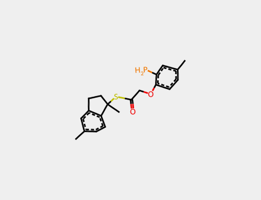 Cc1ccc(OCC(=O)SC2(C)CCc3cc(C)ccc32)c(P)c1